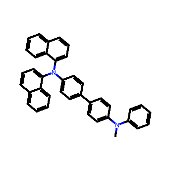 CN(c1ccccc1)c1ccc(-c2ccc(N(c3cccc4ccccc34)c3cccc4ccccc34)cc2)cc1